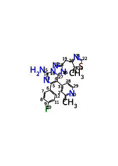 Cc1cc(-c2c(-c3ccc(F)cc3)nc(N)n3nc(CC4N=CSC4C)nc23)ccn1